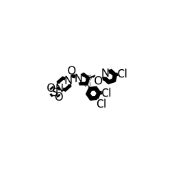 CS(=O)(=O)N1CCN(C(=O)N2C[C@@H](COc3ccc(Cl)cn3)[C@H](c3ccc(Cl)c(Cl)c3)C2)CC1